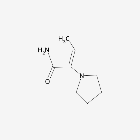 CC=C(C(N)=O)N1CCCC1